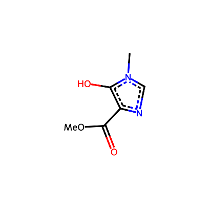 COC(=O)c1ncn(C)c1O